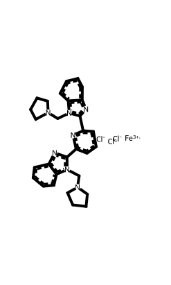 [Cl-].[Cl-].[Cl-].[Fe+3].c1cc(-c2nc3ccccc3n2CN2CCCC2)nc(-c2nc3ccccc3n2CN2CCCC2)c1